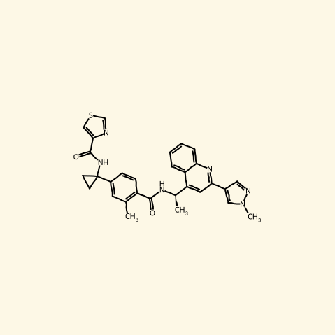 Cc1cc(C2(NC(=O)c3cscn3)CC2)ccc1C(=O)N[C@H](C)c1cc(-c2cnn(C)c2)nc2ccccc12